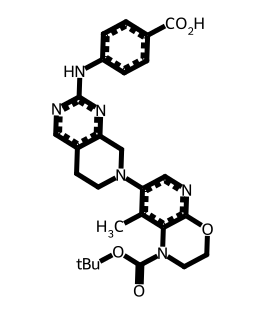 Cc1c(N2CCc3cnc(Nc4ccc(C(=O)O)cc4)nc3C2)cnc2c1N(C(=O)OC(C)(C)C)CCO2